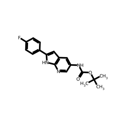 CC(C)(C)OC(=O)Nc1cnc2[nH]c(-c3ccc(F)cc3)cc2c1